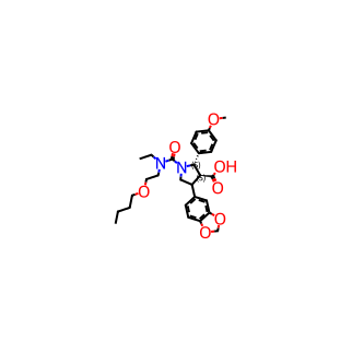 CCCCOCCN(CC)C(=O)N1CC(c2ccc3c(c2)OCO3)[C@H](C(=O)O)[C@H]1c1ccc(OC)cc1